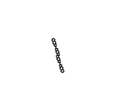 Fc1c(-c2cc3cc4sc5c6cc7sc(-c8sc9cc%10ccccc%10cc9c8F)cc7cc6sc5c4cc3s2)sc2cc3ccccc3cc12